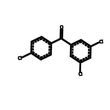 O=C(c1ccc(Cl)cc1)c1cc(Cl)cc(Cl)c1